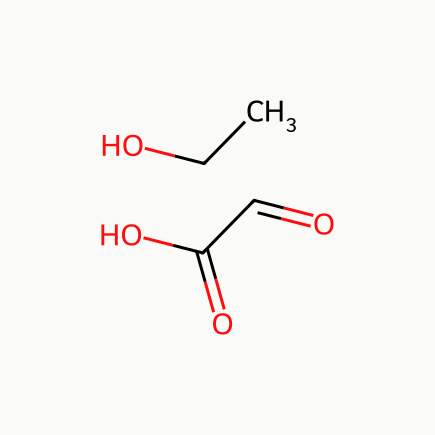 CCO.O=CC(=O)O